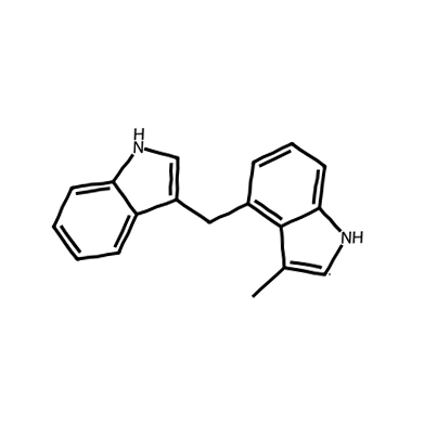 Cc1[c][nH]c2cccc(Cc3c[nH]c4ccccc34)c12